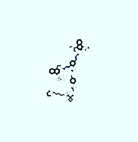 O=C(CNC(=O)C1(C(=O)NCCCCCN2C(=O)C=CC2=O)CCC1)Nc1ccc(COC(=O)Nc2cc(/C=C/C(=O)N3C[C@@H](CCl)c4c3cc(OP(=O)(O)O)c3ccccc43)ccc2/C=C/C(=O)N2CCc3c2cc(OP(=O)(O)O)c2ccccc32)cc1